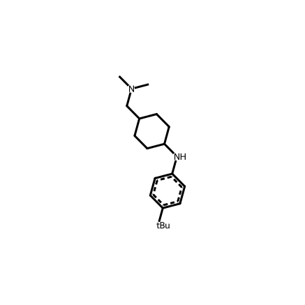 CN(C)CC1CCC(Nc2ccc(C(C)(C)C)cc2)CC1